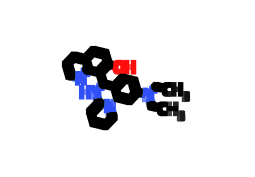 CCN(CC)c1ccc(C(Nc2ccccn2)c2c(O)ccc3cccnc23)cc1